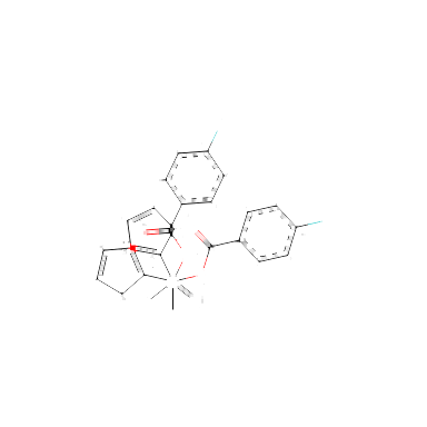 [CH3][Ti]([CH3])(=[SiH2])([O]C(=O)c1ccc(F)cc1)([O]C(=O)c1ccc(F)cc1)([C]1=CC=CC1)[C]1=CC=CC1